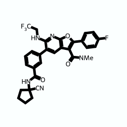 CNC(=O)c1c(-c2ccc(F)cc2)oc2nc(NCC(F)(F)F)c(-c3cccc(C(=O)NC4(C#N)CCCC4)c3)cc12